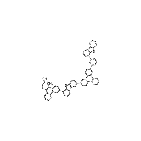 C=C/C=C\c1c(C)c2ccc(-c3cccc4c3sc3ccc(-c5ccc6c7ccccc7c7cc(-c8cccc(-c9cccc%10c9sc9ccccc9%10)c8)ccc7c6c5)cc34)cc2c2ccccc12